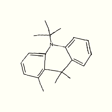 Cc1cccc2c1C(C)(C)c1ccccc1N2C(C)(C)C